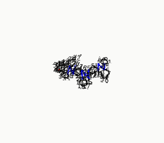 c1ccc(-n2c3ccccc3c3cc(-n4c5ccccc5c5cc(N6c7ccccc7C7(c8ccccc86)C6CC8CC(C6)CC7C8)ccc54)ccc32)cc1